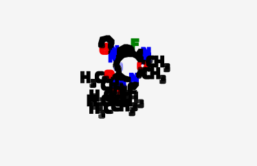 CCN1Cc2c(c(OC(C)C)nn2C[C@H](C)O[Si](C)(C)C(C)(C)C)/C=C/c2nn(C3CCCCO3)c3cc(F)c(cc23)-c2cnn(C)c2O[C@@H](C)C1